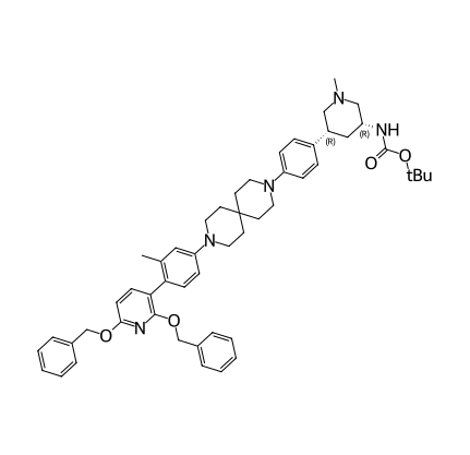 Cc1cc(N2CCC3(CCN(c4ccc([C@H]5C[C@@H](NC(=O)OC(C)(C)C)CN(C)C5)cc4)CC3)CC2)ccc1-c1ccc(OCc2ccccc2)nc1OCc1ccccc1